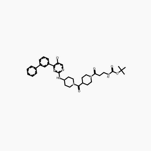 CC(C)(C)OC(=O)NCCC(=O)N1CCC(C(=O)N2CCC(Nc3ncc(Cl)c(-c4cccc(-c5ccccc5)c4)n3)CC2)CC1